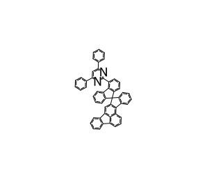 c1ccc(-c2cc(-c3ccccc3)nc(-c3cccc4c3-c3ccccc3C43c4ccccc4-c4c3cc3c5c(cccc45)-c4ccccc4-3)n2)cc1